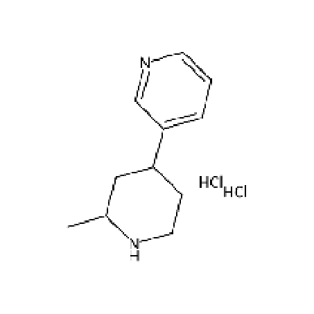 CC1CC(c2cccnc2)CCN1.Cl.Cl